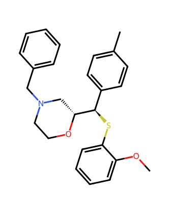 COc1ccccc1S[C@H](c1ccc(C)cc1)[C@H]1CN(Cc2ccccc2)CCO1